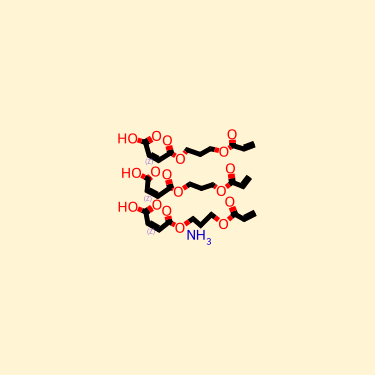 C=CC(=O)OCCCOC(=O)/C=C\C(=O)O.C=CC(=O)OCCCOC(=O)/C=C\C(=O)O.C=CC(=O)OCCCOC(=O)/C=C\C(=O)O.N